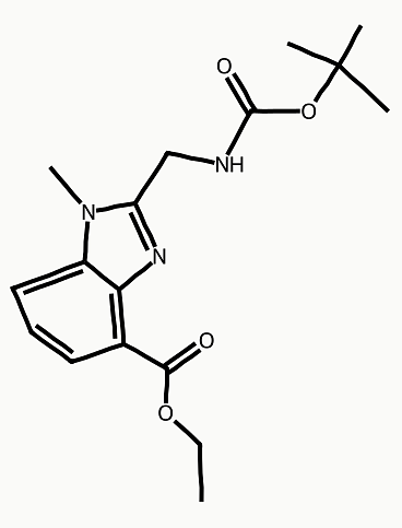 CCOC(=O)c1cccc2c1nc(CNC(=O)OC(C)(C)C)n2C